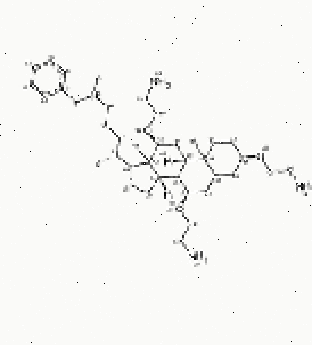 C[C@H](CCCN(C)Cc1ccccc1)[C@H]1CC[C@H]2C3[C@H](OCCN)CC4C[C@H](OCCN)CCC4(C)[C@H]3C[C@H](OCCN)C12C